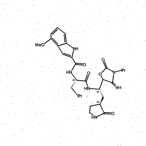 COc1cccc2[nH]c(C(=O)N[C@@H](CC(C)C)C(=O)N[C@@H](C[C@@H]3CCNC3=O)C3OC(=O)N(C(C)C)C3=N)cc12